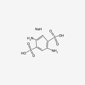 Nc1cc(S(=O)(=O)O)c(N)cc1S(=O)(=O)O.[NaH]